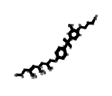 CC(C)(c1ccc(OCC(O)CN(N)/C=C(\N)CSF)cc1)c1ccc(OCCCCl)c(Cl)c1